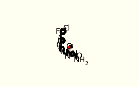 NC(=O)c1cc2nc(CN3CCC(Oc4cccc(Cc5ccc(Cl)cc5F)n4)CC3)n(C[C@@H]3CCO3)c2cn1